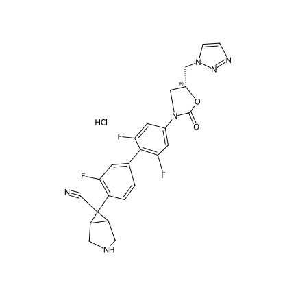 Cl.N#CC1(c2ccc(-c3c(F)cc(N4C[C@H](Cn5ccnn5)OC4=O)cc3F)cc2F)C2CNCC21